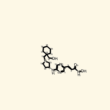 O=C(/C=C/c1cnc(N[C@@H]2CCN(CC3(CO)CCCCC3)C2)cn1)NO